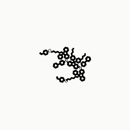 C=Cc1ccc(OCCCCCCC2(c3ccccc3)c3ccccc3-c3ccc(N(c4ccc(-c5ccccc5)cc4)c4ccc5c(c4)C(c4ccc(CCCC)cc4)(c4ccc(CCCC)cc4)c4cc(N(c6ccc(-c7ccccc7)cc6)c6ccc7c(c6)C(CCCCCCOc6ccc(C=C)cc6)(c6ccccc6)c6ccccc6-7)ccc4-5)cc32)cc1